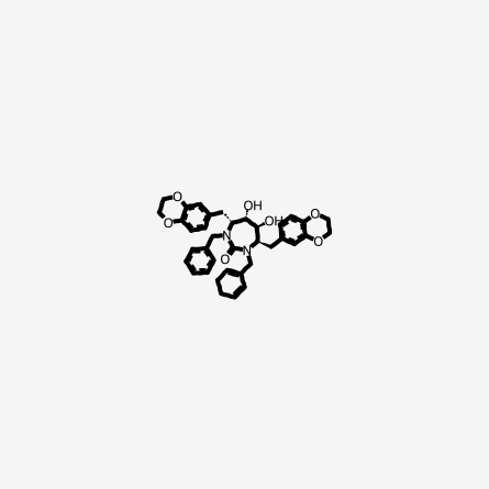 O=C1N(CC2=CCCC=C2)[C@H](Cc2ccc3c(c2)OCCO3)[C@H](O)[C@@H](O)[C@@H](Cc2ccc3c(c2)OCCO3)N1Cc1ccccc1